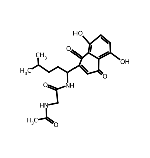 CC(=O)NCC(=O)NC(CCC(C)C)C1=CC(=O)c2c(O)ccc(O)c2C1=O